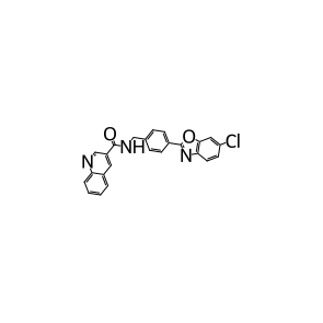 O=C(NCc1ccc(-c2nc3ccc(Cl)cc3o2)cc1)c1cnc2ccccc2c1